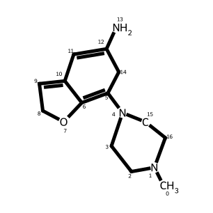 CN1CCN(C2=C3OCC=C3C=C(N)C2)CC1